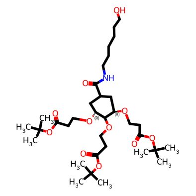 CC(C)(C)OC(=O)CCOC1[C@H](OCCC(=O)OC(C)(C)C)CC(C(=O)NCCCCCCO)C[C@H]1OCCC(=O)OC(C)(C)C